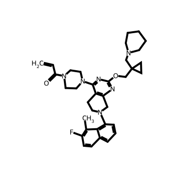 C=CC(=O)N1CCN(c2nc(OCC3(CN4CCCCC4)CC3)nc3c2CCN(c2cccc4ccc(F)c(C)c24)C3)CC1